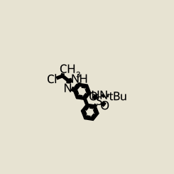 CC(Cl)c1nc2cc(-c3ccccc3S(=O)(=O)NC(C)(C)C)ccc2[nH]1